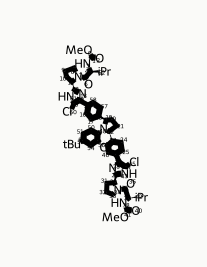 COC(=O)N[C@H](C(=O)N1CCC[C@H]1c1nc(-c2ccc([C@H]3CC[C@H](c4ccc(-c5nc([C@@H]6CCCN6C(=O)[C@@H](NC(=O)OC)C(C)C)[nH]c5Cl)cc4)N3c3ccc(C(C)(C)C)cc3Cl)cc2)c(Cl)[nH]1)C(C)C